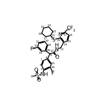 CS(=O)(=O)Nc1ccc(C(C(=O)NCc2ccc(C(F)(F)F)nc2SC2CCCCC2)c2cccc(F)c2)cc1F